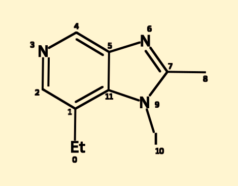 CCc1cncc2nc(C)n(I)c12